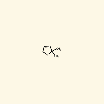 CC1(C)[C]=CCS1